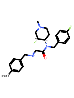 CC(C)COc1ccc(CNCC(=O)N(Cc2ccc(F)cc2)[C@H]2CCN(C)C[C@H]2F)cc1